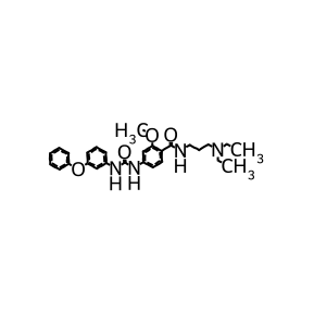 CCN(CC)CCCNC(=O)c1ccc(NC(=O)Nc2cccc(Oc3ccccc3)c2)cc1OC